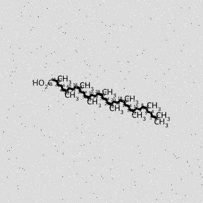 CC(C)=CCCC(C)=CCCC(C)=CCCC(C)=CCCC(C)=CCCC(C)=CCCC(C)=CCCC(C)=CCCC(C)=CCCC(C)CC(=O)O